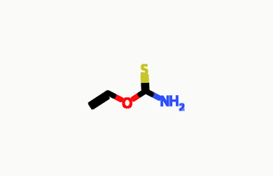 C=COC(N)=S